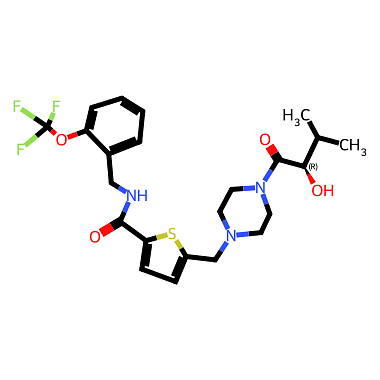 CC(C)[C@@H](O)C(=O)N1CCN(Cc2ccc(C(=O)NCc3ccccc3OC(F)(F)F)s2)CC1